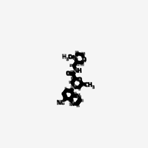 CC1CN(c2ccc(C#N)c3nccnc23)CC(C(=O)NCC2COCCN2C)O1